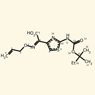 C=CCON=C(C(=O)O)c1csc(NC(=O)OC(C)(C)CC)n1